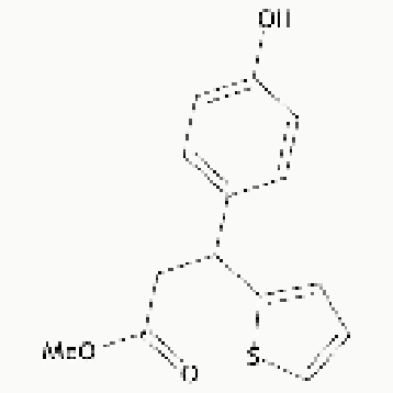 COC(=O)CC(c1ccc(O)cc1)c1cccs1